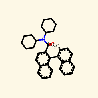 O=C(O)c1ccc2ccccc2c1-c1c(C(=O)N(C2CCCCC2)C2CCCCC2)ccc2ccccc12